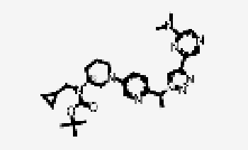 CC(c1ccc(N2CCC[C@@H](N(CC3CC3)C(=O)OC(C)(C)C)C2)cn1)n1cc(-c2cncc(N(C)C)n2)nn1